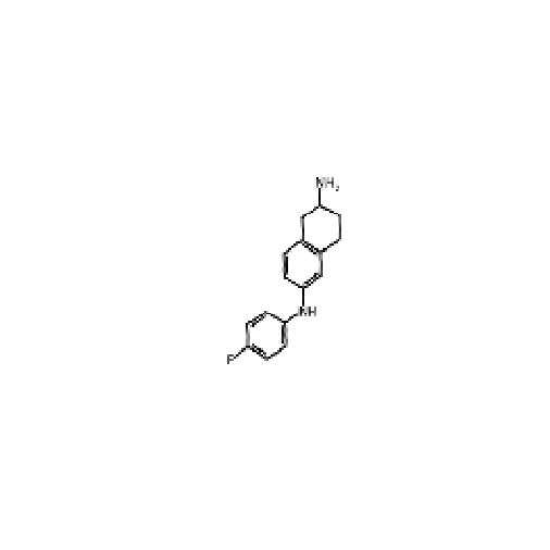 NC1CCc2cc(Nc3ccc(F)cc3)ccc2C1